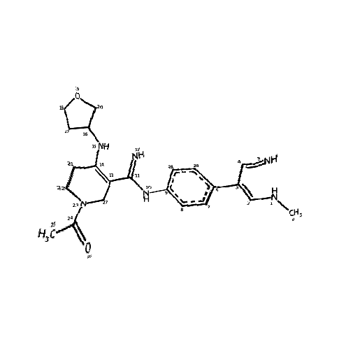 CN/C=C(\C=N)c1ccc(NC(=N)C2=C(NC3CCOC3)CCN(C(C)=O)C2)cc1